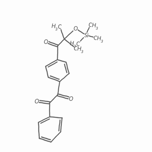 CC(C)(O[Si](C)(C)C)C(=O)c1ccc(C(=O)C(=O)c2ccccc2)cc1